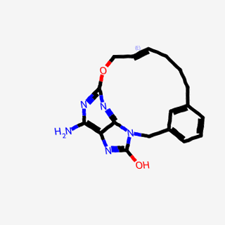 Nc1nc2nc3c1nc(O)n3Cc1cccc(c1)CCC/C=C/CO2